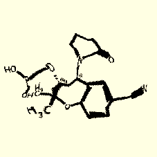 CC1(C)Oc2ccc(C#N)cc2[C@H](N2CCCC2=O)[C@H]1OP(O)O